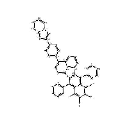 Fc1c(F)c(F)c2c(-c3ccccc3)c3c(c(-c4ccccc4)c2c1F)-c1cccc2c(-c4ccc(-c5cn6ccccc6n5)cc4)ccc-3c12